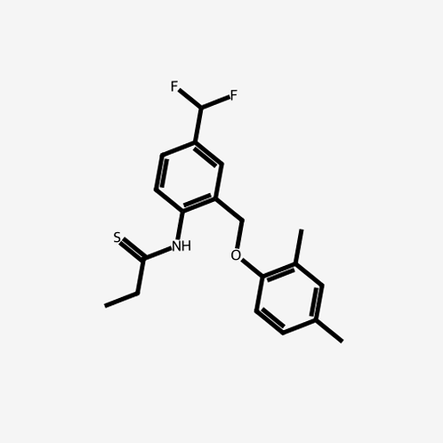 CCC(=S)Nc1ccc(C(F)F)cc1COc1ccc(C)cc1C